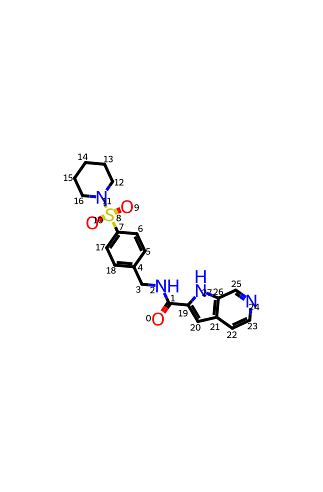 O=C(NCc1ccc(S(=O)(=O)N2CCCCC2)cc1)c1cc2ccncc2[nH]1